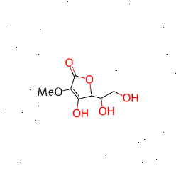 COC1=C(O)C(C(O)CO)OC1=O